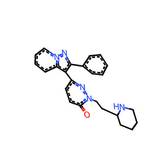 O=c1ccc(-c2c(-c3ccccc3)nn3ccccc23)nn1CCC1CCCCN1